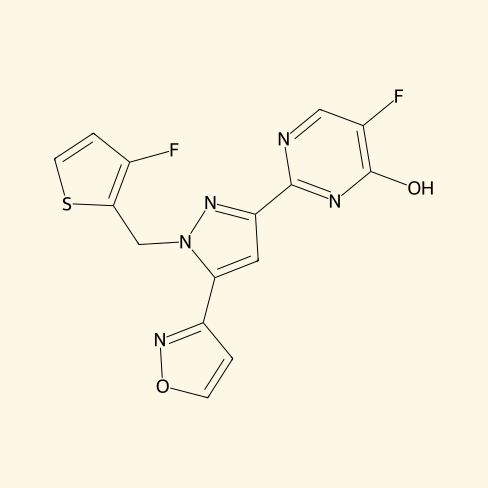 Oc1nc(-c2cc(-c3ccon3)n(Cc3sccc3F)n2)ncc1F